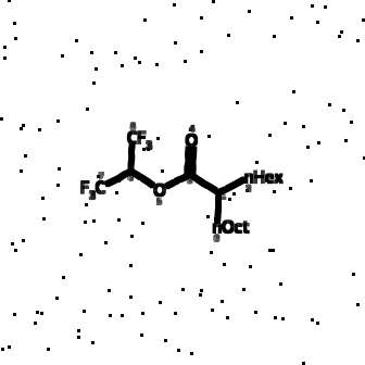 CCCCCCCCC(CCCCCC)C(=O)OC(C(F)(F)F)C(F)(F)F